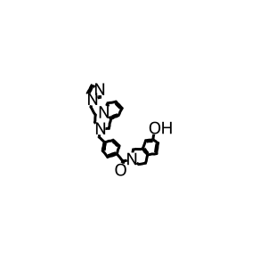 O=C(c1ccc(CN(CCCn2ccnc2)Cc2ccccn2)cc1)N1CCc2ccc(O)cc2C1